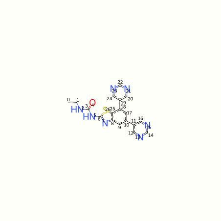 CCNC(=O)Nc1nc2cc(-c3cncnc3)cc(-c3cncnc3)c2s1